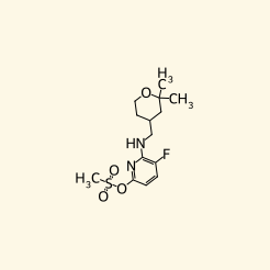 CC1(C)CC(CNc2nc(OS(C)(=O)=O)ccc2F)CCO1